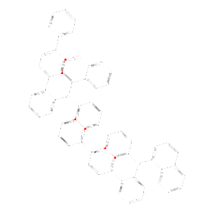 c1ccc(-c2ccc(-c3ccccc3N(c3ccc(-c4ccc(N(c5ccccc5-c5ccc(-c6ccccc6)cc5)c5cccc6ccccc56)cc4)cc3)c3cccc4ccccc34)cc2)cc1